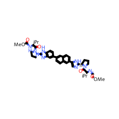 COO/C=N\[C@H](C(=O)N1CCC[C@H]1c1ncc(-c2ccc3cc(-c4ccc5[nH]c(N6CCCN6C(=O)[C@@H](NC(=O)OC)C(C)C)nc5c4)ccc3c2)[nH]1)C(C)C